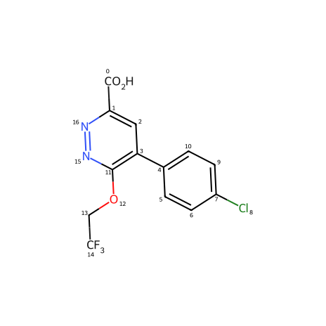 O=C(O)c1cc(-c2ccc(Cl)cc2)c(OCC(F)(F)F)nn1